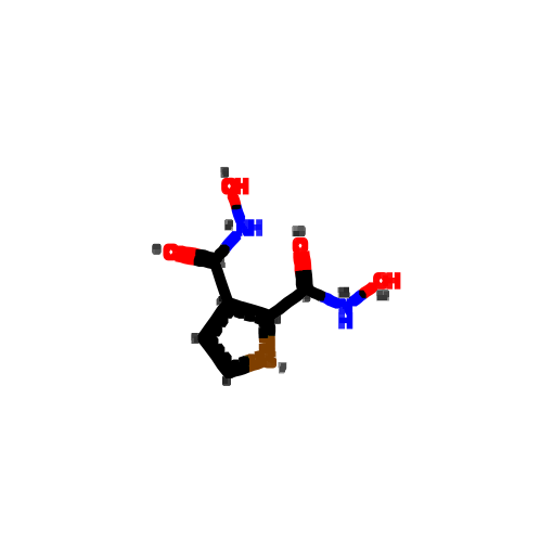 O=C(NO)c1ccsc1C(=O)NO